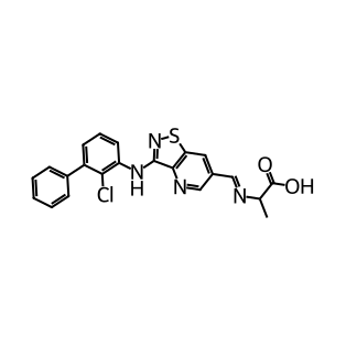 CC(N=Cc1cnc2c(Nc3cccc(-c4ccccc4)c3Cl)nsc2c1)C(=O)O